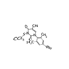 Cc1cc(C(C)(C)C)cc(C)c1-n1cc(C#N)c(=O)n(SC(Cl)(Cl)Cl)c1=O